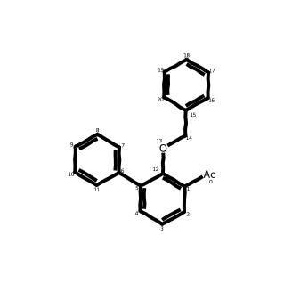 CC(=O)c1cccc(-c2ccccc2)c1OCc1ccccc1